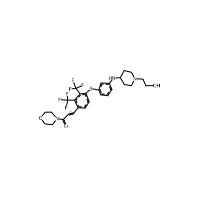 O=C(/C=C/c1ccc(Sc2cccc(NC3CCN(CCO)CC3)c2)c(C(F)(F)F)c1C(F)(F)F)N1CCOCC1